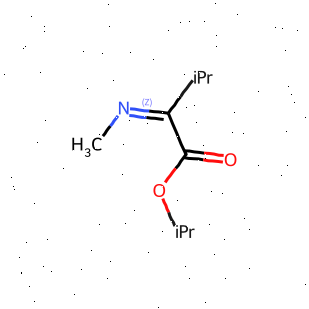 C/N=C(\C(=O)OC(C)C)C(C)C